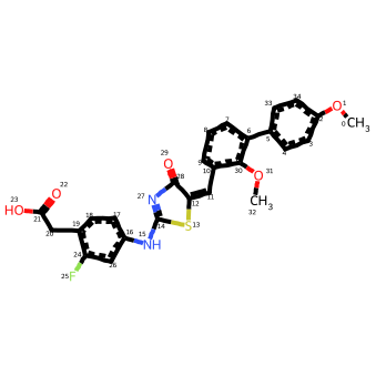 COc1ccc(-c2cccc(/C=C3/SC(Nc4ccc(CC(=O)O)c(F)c4)=NC3=O)c2OC)cc1